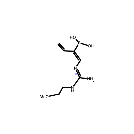 C=C/C(=C\N=C(/N)NCCOC)B(O)O